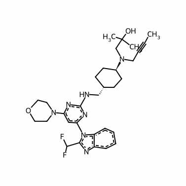 CC#CCN(CC(C)(C)O)[C@H]1CC[C@H](CNc2nc(N3CCOCC3)cc(-n3c(C(F)F)nc4ccccc43)n2)CC1